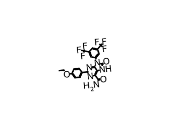 CCOc1ccc(-c2nc(C(N)=O)c3[nH]c(=O)n(-c4cc(C(F)(F)F)cc(C(F)(F)F)c4)c3n2)cc1